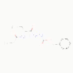 CC(C)C[C@H](NC(=O)CC(C)(C)C)C(=O)NNC(=O)OCc1ccccc1